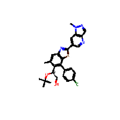 Cc1cc2nc(-c3cnc4cnn(C)c4c3)sc2c(-c2ccc(Cl)cc2)c1[C@@H](CO)OC(C)(C)C